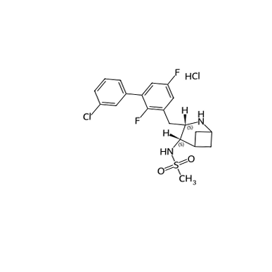 CS(=O)(=O)N[C@H]1C2CC(C2)N[C@H]1Cc1cc(F)cc(-c2cccc(Cl)c2)c1F.Cl